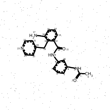 CC(=O)Nc1cccc(NC(=O)c2cccc(N)c2Cc2ccncc2)c1